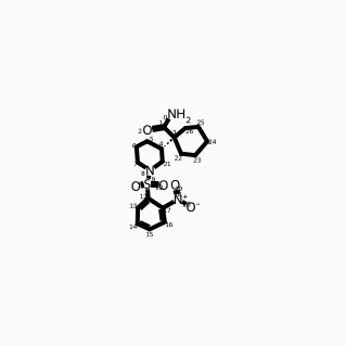 NC(=O)C1([C@H]2CCCN(S(=O)(=O)c3ccccc3[N+](=O)[O-])C2)CCCCC1